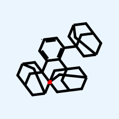 [c]1cc(C23CC4CC(CC(C4)C2)C3)c(C23CC4CC(CC(C4)C2)C3)c(C23CC4CC(CC(C4)C2)C3)c1